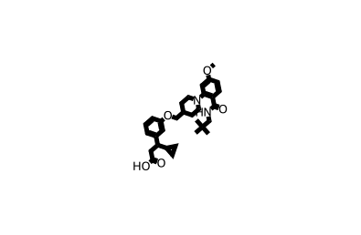 COc1ccc(C(=O)NCC(C)(C)C)c(N2CCC(COc3cccc(C(CC(=O)O)C4CC4)c3)CC2)c1